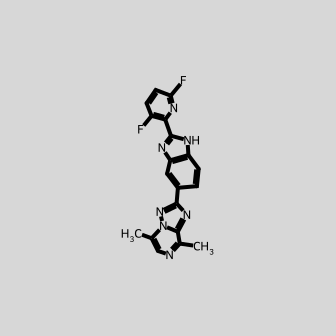 Cc1ncc(C)n2nc(-c3ccc4[nH]c(-c5nc(F)ccc5F)nc4c3)nc12